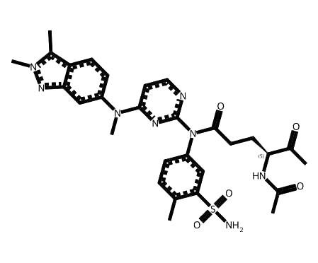 CC(=O)N[C@@H](CCC(=O)N(c1ccc(C)c(S(N)(=O)=O)c1)c1nccc(N(C)c2ccc3c(C)n(C)nc3c2)n1)C(C)=O